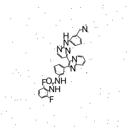 CN(C)Cc1cccc(Nc2nccc(-c3c(-c4cccc(NC(=O)Nc5c(F)cccc5F)c4)nc4ccccn34)n2)c1